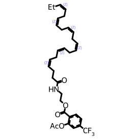 CC/C=C\C/C=C\C/C=C\C/C=C\C/C=C\C/C=C\CCC(=O)NCCOC(=O)c1ccc(C(F)(F)F)cc1OC(C)=O